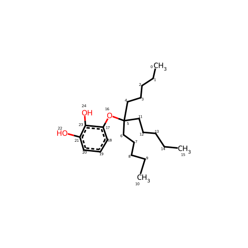 CCCCCC(CCCCC)(CCCCC)Oc1cccc(O)c1O